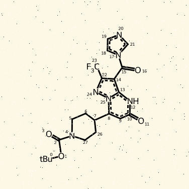 CC(C)(C)OC(=O)N1CCC(c2cc(=O)[nH]c3c(C(=O)n4ccnc4)c(C(F)(F)F)nn23)CC1